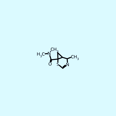 CC1N=CSC2(C(=O)N(C)C)CC12